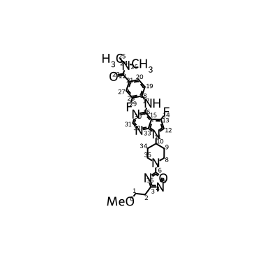 COCCc1noc(N2CCC(n3cc(F)c4c(Nc5ccc(C(=O)N(C)C)cc5F)ncnc43)CC2)n1